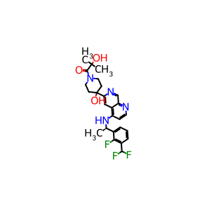 C[C@@H](Nc1ccnc2cnc(C3(O)CCN(C(=O)C(C)(C)O)CC3)cc12)c1cccc(C(F)F)c1F